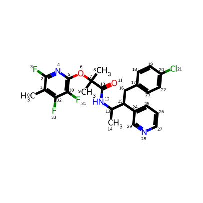 Cc1c(F)nc(OC(C)(C)C(=O)NC(C)C(Cc2ccc(Cl)cc2)c2cccnc2)c(F)c1F